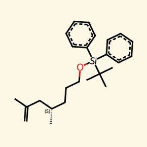 C=C(C)C[C@@H](C)CCCO[Si](c1ccccc1)(c1ccccc1)C(C)(C)C